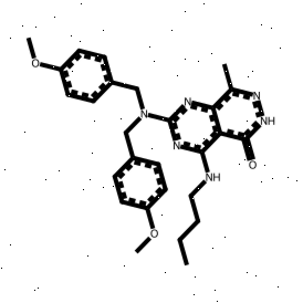 CCCCNc1nc(N(Cc2ccc(OC)cc2)Cc2ccc(OC)cc2)nc2c(C)n[nH]c(=O)c12